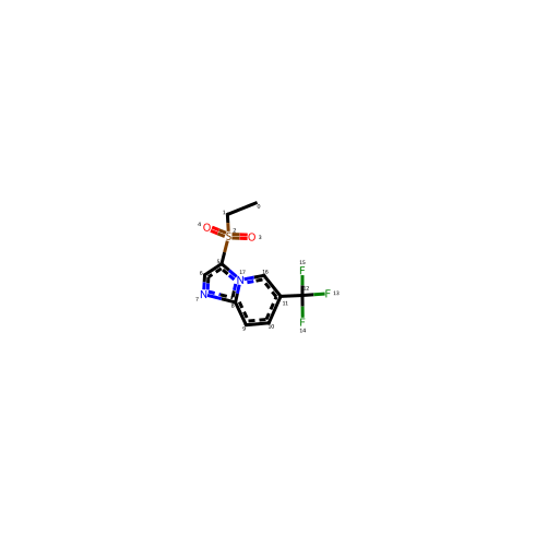 CCS(=O)(=O)c1cnc2ccc(C(F)(F)F)cn12